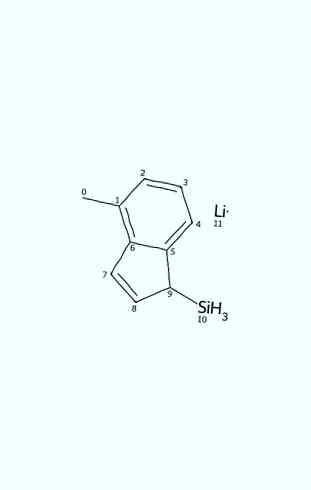 Cc1cccc2c1C=CC2[SiH3].[Li]